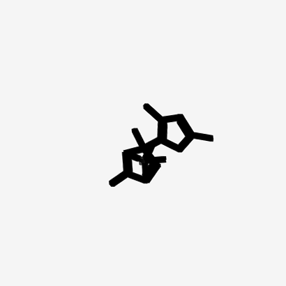 CC1=CC(C)=C(C2(C)[C]=C3C(C)=C2[Si]3(C)C)C1